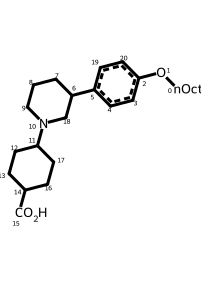 CCCCCCCCOc1ccc(C2CCCN(C3CCC(C(=O)O)CC3)C2)cc1